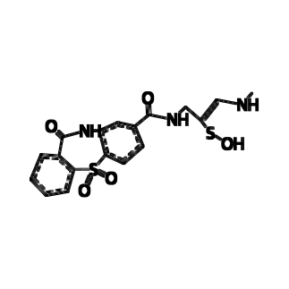 CN/C=C(/CNC(=O)c1ccc2c(c1)NC(=O)c1ccccc1S2(=O)=O)SO